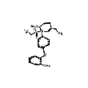 COc1ccccc1Oc1ccc([N+]2(S(=O)(=O)CC(F)(F)F)C=C(CN)C=CC2OC)cc1